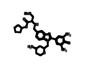 COCC(NCc1ccc2c(c1)nc(-c1cc(C)c(=O)n(C)c1)n2CC1CN(C)CCO1)C(=O)OC1CCCC1